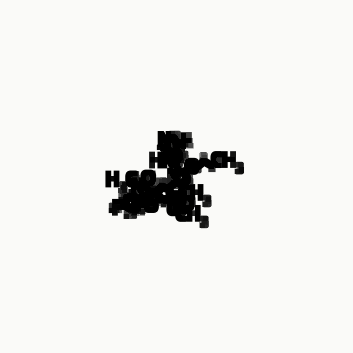 CCCCOc1ccc(-c2cc3c(C(=O)NC)c(-c4ccc(F)cc4)oc3cc2N(C)S(C)(=O)=O)nc1-c1cc2c(F)cncc2[nH]1